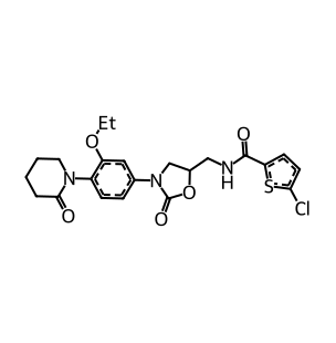 CCOc1cc(N2CC(CNC(=O)c3ccc(Cl)s3)OC2=O)ccc1N1CCCCC1=O